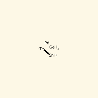 [GeH4].[Pd].[SnH][Te]